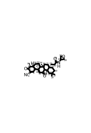 C[C@@H]1C(=O)C(C#N)=C[C@]2(C)C3=CC(=O)C4[C@H]5CC(C)(C)CC[C@]5(CCC(=O)NC5COC5)CC[C@@]4(C)[C@]3(C)CC[C@@H]12